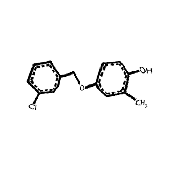 Cc1cc(OCc2cccc(Cl)c2)ccc1O